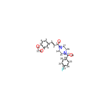 O=C(C=Cc1ccc2c(c1)OCO2)N1CCN(C(=O)c2ccc(F)cc2)CC1